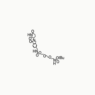 CC(C)(C)OC(=O)NCCOCCOCCOC(=O)NCc1ccc2c(c1)CN(C1CCC(=O)NC1=O)C2=O